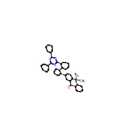 CC1(C)c2ccccc2C(=O)c2cc(-c3ccccc3-c3ccccc3-c3nc(-c4ccccc4)nc(-c4ccccc4)n3)ccc21